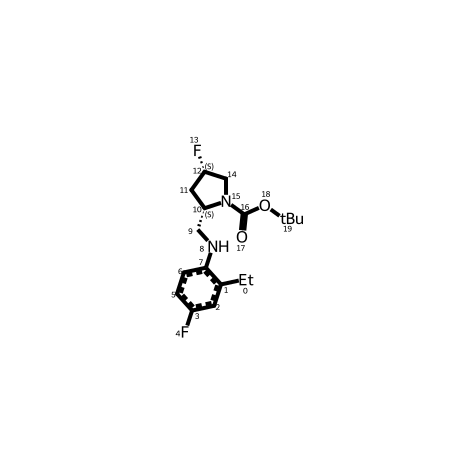 CCc1cc(F)ccc1NC[C@@H]1C[C@H](F)CN1C(=O)OC(C)(C)C